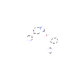 Cc1nc(-c2ccc(C)c(NC(=O)c3cnc4ccc(-c5c(C)noc5C)cn34)c2)no1